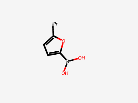 CC(C)c1ccc(B(O)O)o1